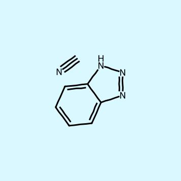 C#N.c1ccc2[nH]nnc2c1